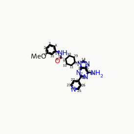 COc1cccc(NC(=O)[C@H]2CC[C@@H](n3cnc4c(N)nc(-c5ccncc5)nc43)CC2)c1